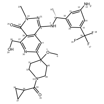 COC1(c2cc3c(N[C@H](C)c4cc(N)cc(C(F)(F)F)c4)nn(C)c(=O)c3c(CO)n2)CCN(C(=O)C2CC2)CC1